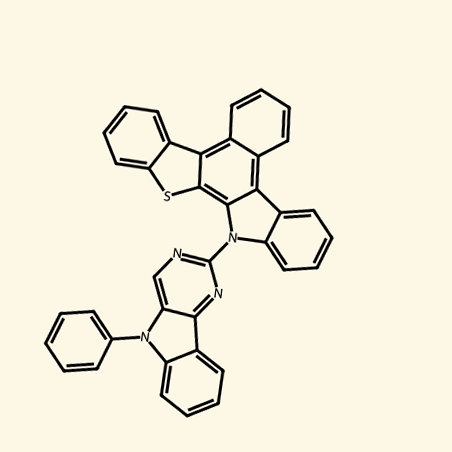 c1ccc(-n2c3ccccc3c3nc(-n4c5ccccc5c5c6ccccc6c6c7ccccc7sc6c54)ncc32)cc1